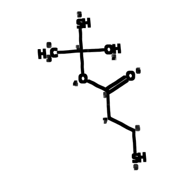 CC(O)(S)OC(=O)CCS